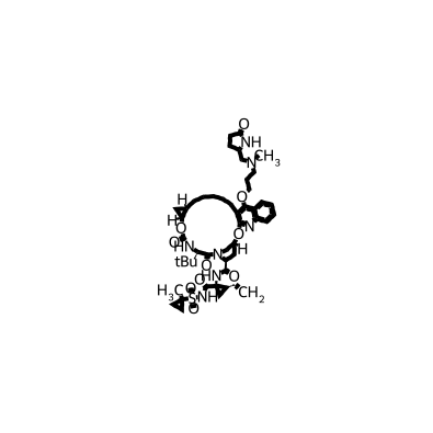 C=C[C@@H]1C[C@]1(NC(=O)[C@@H]1C[C@@H]2CN1C(=O)[C@H](C(C)(C)C)NC(=O)O[C@@H]1C[C@H]1CCCCCc1c(nc3ccccc3c1OCCCN(C)CC1CCC(=O)N1)O2)C(=O)NS(=O)(=O)C1(C)CC1